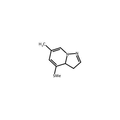 CSC1=CC(C)=CN2N=CCC12